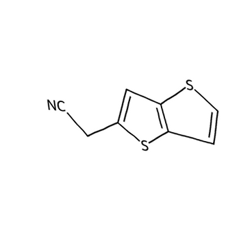 N#CCc1cc2sccc2s1